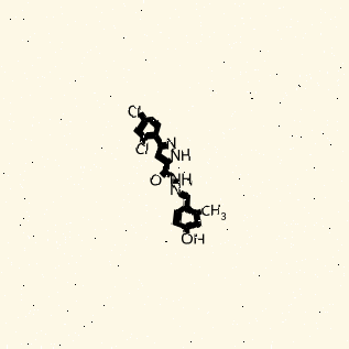 Cc1cc(O)ccc1/C=N/NC(=O)c1cc(-c2ccc(Cl)cc2Cl)n[nH]1